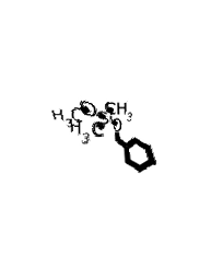 CO[Si](C)(C)OCC1CCCCC1